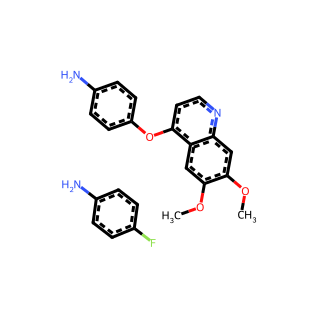 COc1cc2nccc(Oc3ccc(N)cc3)c2cc1OC.Nc1ccc(F)cc1